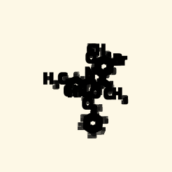 CCc1nc(C(CC(C)C)NC(=O)OCc2ccccc2)nc2c(OC)cc(Br)cc12